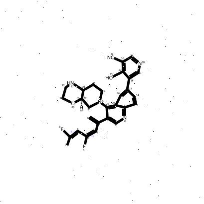 C=C(/C=C(F)\C=C(/C)F)c1cnc2ccc(-c3cncc(C#N)c3O)cc2c1N1CCC2NCCO[C@@H]2C1